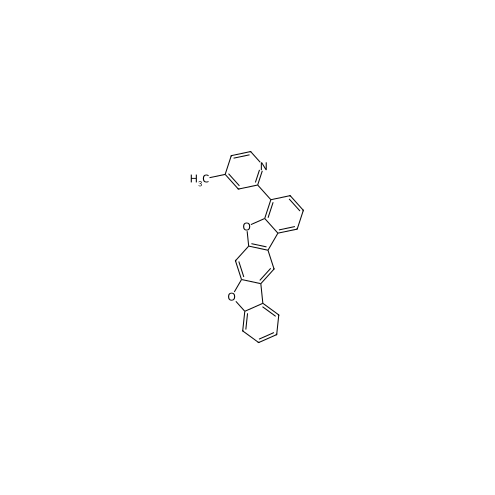 Cc1ccnc(-c2cccc3c2oc2cc4oc5ccccc5c4cc23)c1